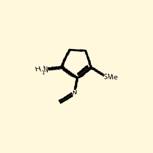 C=NC1=C(SC)CCC1N